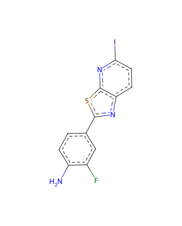 Nc1ccc(-c2nc3ccc(I)nc3s2)cc1F